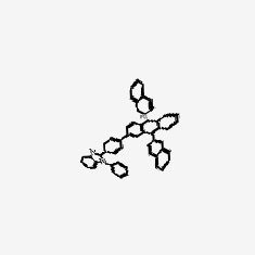 C1=CC2=C(c3ccc4ccccc4c3)c3cc(C4=CCC(c5nc6ccccc6n5-c5ccccc5)C=C4)ccc3C([C@H]3C=Cc4ccccc4C3)C2C=C1